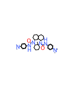 CN(C)c1ccc(NC(=O)N(C2CCCCC2)C2CCCCC2(C)N(C(=O)Nc2ccc(N(C)C)cc2)C2CCCCC2)cc1